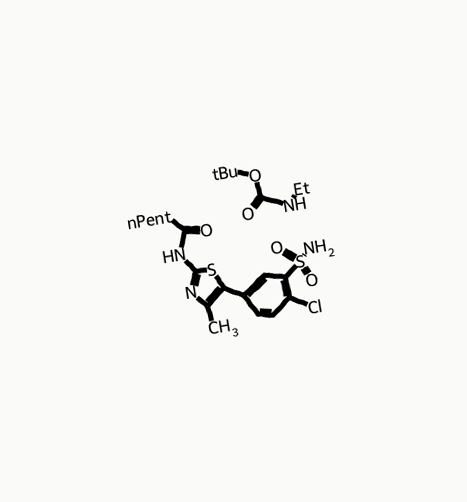 CCCCCC(=O)Nc1nc(C)c(-c2ccc(Cl)c(S(N)(=O)=O)c2)s1.CCNC(=O)OC(C)(C)C